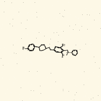 C[C@@H](Cc1c(F)cc(CCC2CCC(c3ccc(F)cc3)CC2)cc1F)c1ccccc1